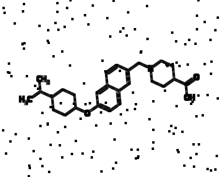 CC(C)C1CCC(Oc2ccc3cc(CN4CCC(C(=O)O)CC4)ccc3c2)CC1